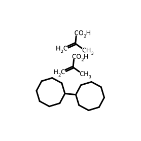 C1CCCC(C2CCCCCCC2)CCC1.C=C(C)C(=O)O.C=C(C)C(=O)O